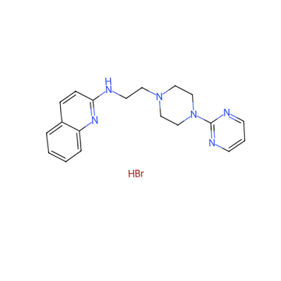 Br.c1cnc(N2CCN(CCNc3ccc4ccccc4n3)CC2)nc1